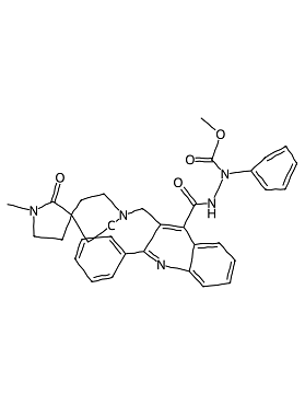 COC(=O)N(NC(=O)c1c(CN2CCC3(CC2)CCN(C)C3=O)c(-c2ccccc2)nc2ccccc12)c1ccccc1